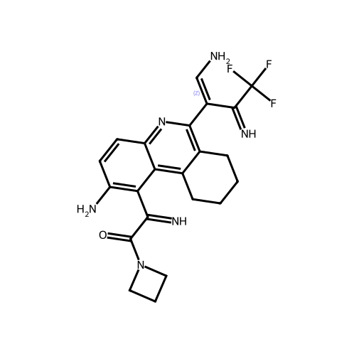 N=C(C(=O)N1CCC1)c1c(N)ccc2nc(/C(=C/N)C(=N)C(F)(F)F)c3c(c12)CCCC3